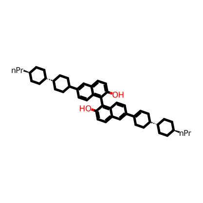 CCC[C@H]1CC[C@H](C2CC=C(c3ccc4c(-c5c(O)ccc6cc(C7CCC([C@H]8CC[C@H](CCC)CC8)CC7)ccc56)c(O)ccc4c3)CC2)CC1